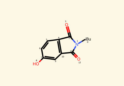 CCC(C)N1C(=O)c2ccc(O)cc2C1=O